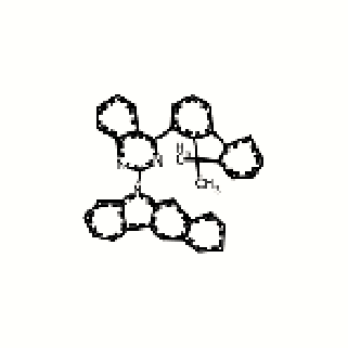 CC1(C)c2ccccc2-c2cccc(-c3nc(-n4c5ccccc5c5cc6ccccc6cc54)nc4ccccc34)c21